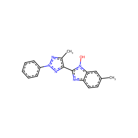 Cc1ccc2nc(-c3nn(-c4ccccc4)nc3C)n(O)c2c1